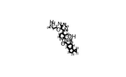 CNCCOc1c(N)ncnc1-c1ccnc(NC(=O)c2cc3c(cc2F)C2(CC3)CC2)c1CO